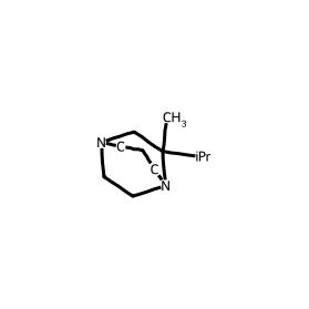 CC(C)C1(C)CN2CCCN1CC2